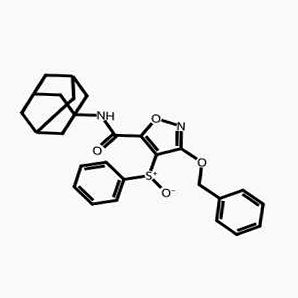 O=C(NC12CC3CC(CC(C3)C1)C2)c1onc(OCc2ccccc2)c1[S+]([O-])c1ccccc1